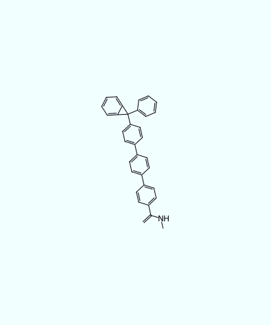 C=C(NC)c1ccc(-c2ccc(-c3ccc(C4(c5ccccc5)c5ccccc54)cc3)cc2)cc1